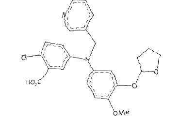 COc1ccc(N(Cc2cccnc2)c2ccc(Cl)c(C(=O)O)c2)cc1OC1CCCO1